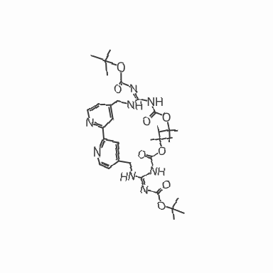 CC(C)(C)OC(=O)/N=C(/NCc1ccnc(-c2cc(CN/C(=N\C(=O)OC(C)(C)C)NC(=O)OC(C)(C)C)ccn2)c1)NC(=O)OC(C)(C)C